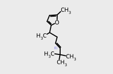 Cc1ccc(C(C)C/C=C/C(C)(C)C)o1